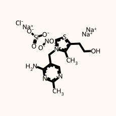 Cc1ncc(C[n+]2csc(CCO)c2C)c(N)n1.O=[N+]([O-])[O-].O=[Si]([O-])[O-].[Cl-].[Na+].[Na+].[Na+]